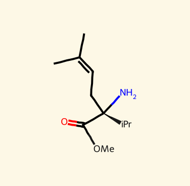 COC(=O)[C@@](N)(CC=C(C)C)C(C)C